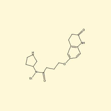 CCN(C(=O)CCCOc1ccc2c(c1)CCC(=O)N2)C1CCNC1